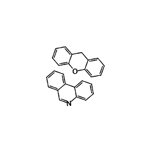 c1ccc2c(c1)Cc1ccccc1O2.c1ccc2c(c1)cnc1ccccc12